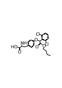 CCCCOC(=O)C(Oc1ccc(C[C@H](N)C(=O)O)cc1)c1c(Cl)cccc1Cl